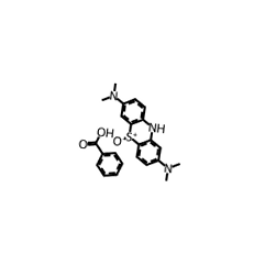 CN(C)c1ccc2c(c1)Nc1ccc(N(C)C)cc1[S+]2[O-].O=C(O)c1ccccc1